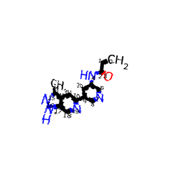 C=CC(=O)Nc1cncc(-c2cc3c(C)n[nH]c3cn2)c1